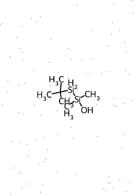 CC(C)(C)[SiH2][Si](C)(C)O